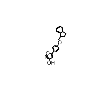 Oc1cc(-c2ccc(OCC3CCc4ccccc43)cc2)on1